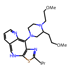 COCCC1CN(C2=c3ncccc3=CNc3sc(C(C)C)nc32)CCN1CCOC